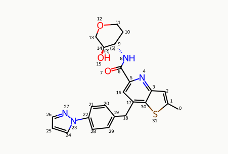 Cc1cc2nc(C(=O)N[C@H]3CCOC[C@@H]3O)cc(Cc3ccc(-n4cccn4)cc3)c2s1